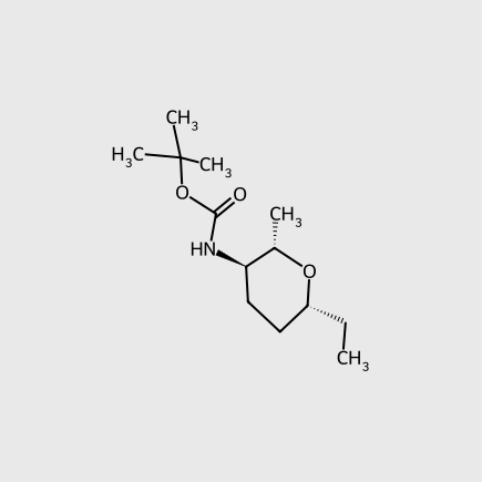 CC[C@@H]1CC[C@@H](NC(=O)OC(C)(C)C)[C@H](C)O1